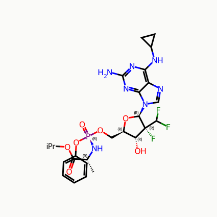 CC(C)OC(=O)[C@@H](C)N[P@@](=O)(OC[C@H]1O[C@@H](n2cnc3c(NC4CC4)nc(N)nc32)[C@@](F)(C(F)F)[C@@H]1O)Oc1ccccc1